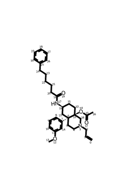 C=CCN1CC[C@@]2(c3cccc(OC)c3)C[C@@H](NC(=O)CCCCCc3ccccc3)CC[C@]2(OC(C)=O)C1